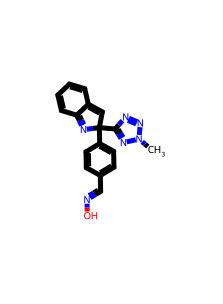 Cn1nnc(C2(c3ccc(C=NO)cc3)C=c3ccccc3=N2)n1